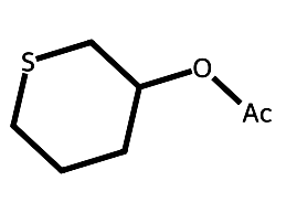 CC(=O)OC1CCCSC1